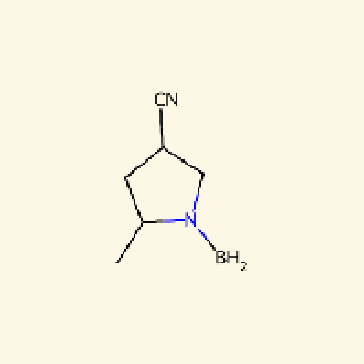 BN1CC(C#N)CC1C